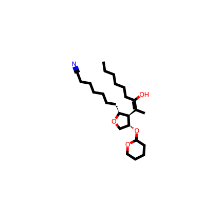 CCCCCC/C(O)=C(/C)[C@@H]1[C@@H](CCCCCCC#N)OC[C@H]1OC1CCCCO1